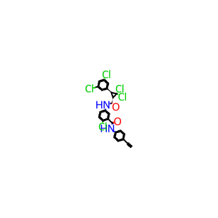 C#Cc1ccc(NC(=O)c2cc(NC(=O)[C@@H]3[C@@H](c4cc(Cl)cc(Cl)c4)C3(Cl)Cl)ccc2Cl)cc1